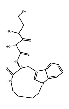 CC(C)CCC(O)C(=O)N(O)C(=O)N[C@H]1Cc2cn(c3ccccc23)CCCCCNC1=O